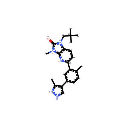 Cc1ccc(-c2c[nH]nc2C)cc1-c1ccc2c(n1)n(C)c(=O)n2CC(C)(C)C